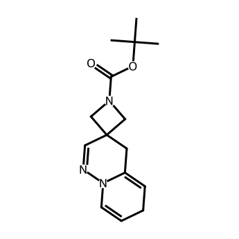 CC(C)(C)OC(=O)N1CC2(C=NN3C=CCC=C3C2)C1